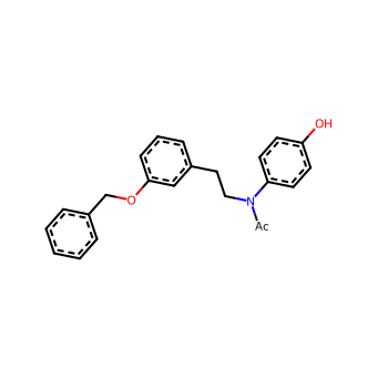 CC(=O)N(CCc1cccc(OCc2ccccc2)c1)c1ccc(O)cc1